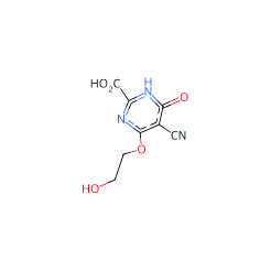 N#Cc1c(OCCO)nc(C(=O)O)[nH]c1=O